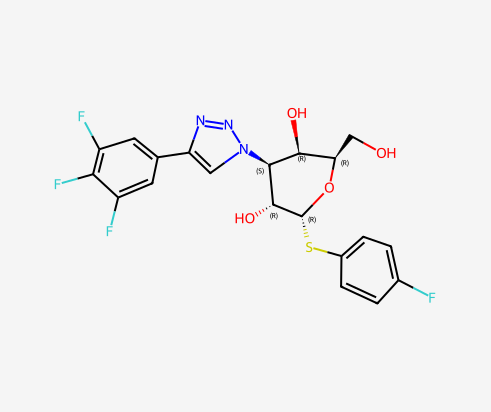 OC[C@H]1O[C@H](Sc2ccc(F)cc2)[C@H](O)[C@@H](n2cc(-c3cc(F)c(F)c(F)c3)nn2)[C@H]1O